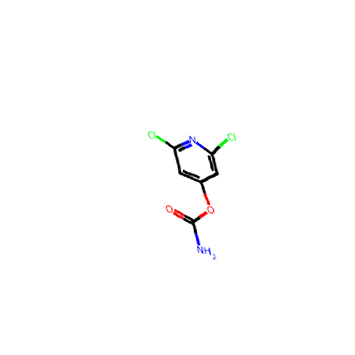 NC(=O)Oc1cc(Cl)nc(Cl)c1